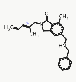 C=C/C=C(\C)CN1Cc2cc(CNCc3ccccc3)cc(C)c2C1=O